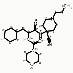 CCCN1CCC(C#N)(NC(=O)C(CC2CCCCC2)NC(=O)N2CCOCC2)CC1